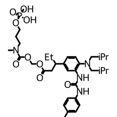 CCC(CC(=O)OCOC(=O)N(C)CCCOP(=O)(O)O)c1ccc(N(CC(C)C)CC(C)C)c(NC(=O)Nc2ccc(C)cc2)c1